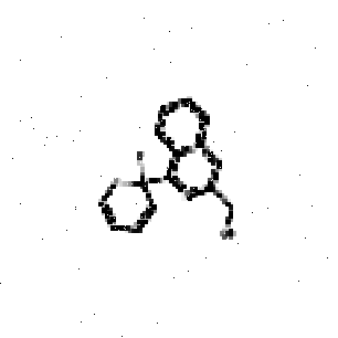 OCc1cc2ccccc2c(C2(F)C=CC=CC2)n1